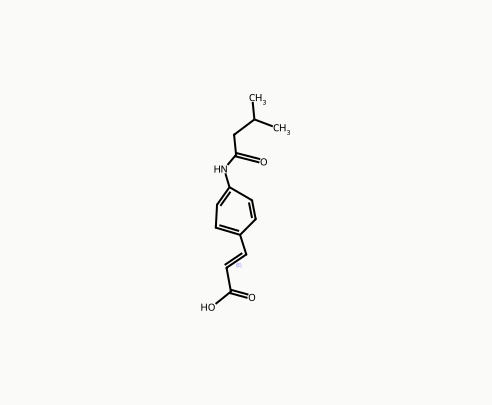 CC(C)CC(=O)Nc1ccc(/C=C/C(=O)O)cc1